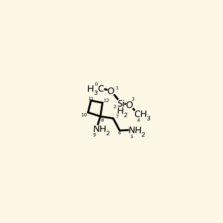 CO[SiH2]OC.NCCC1(N)CCC1